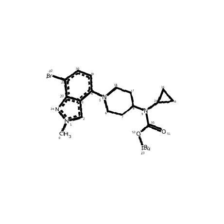 Cn1cc2c(N3CCC(N(C(=O)OC(C)(C)C)C4CC4)CC3)ccc(Br)c2n1